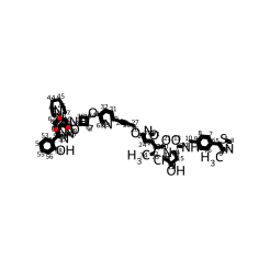 Cc1ncsc1-c1ccc(CNC(=O)[C@@H]2C[C@@H](O)CN2C(=O)[C@H](c2cc(OCC#Cc3ccc(O[C@H]4C[C@H](Oc5cc(N6C7CCC6CN(c6cc(-c8ccccc8O)nnc6N)C7)ccn5)C4)cn3)no2)C(C)C)cc1